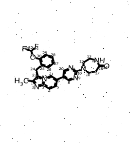 Cc1nc2ccc(-c3cnc(N4CCNC(=O)CC4)nc3)cn2c1Cc1ccccc1OC(F)F